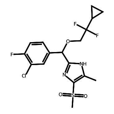 Cc1[nH]c(C(OCC(F)(F)C2CC2)c2ccc(F)c(Cl)c2)nc1S(C)(=O)=O